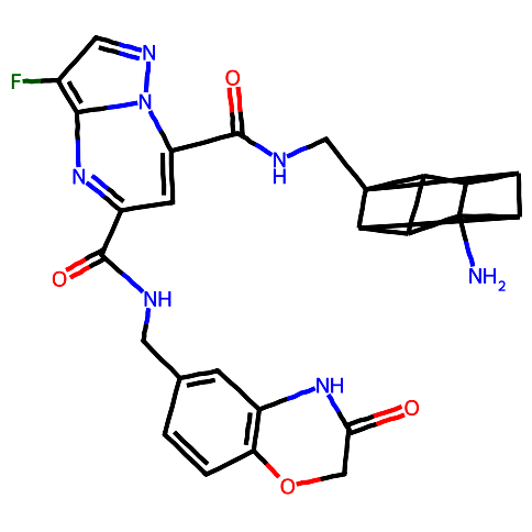 NC12C3C4C1C1C2C3C41CNC(=O)c1cc(C(=O)NCc2ccc3c(c2)NC(=O)CO3)nc2c(F)cnn12